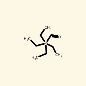 CCP(C=O)(CC)(CC)CC